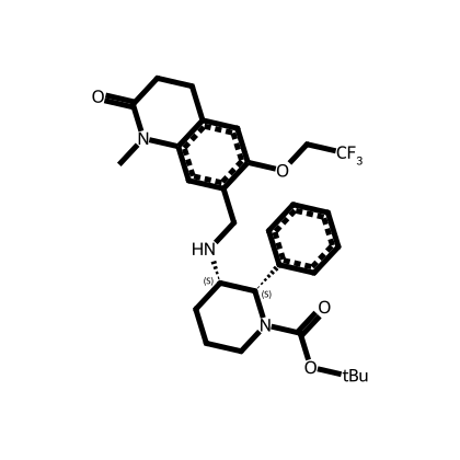 CN1C(=O)CCc2cc(OCC(F)(F)F)c(CN[C@H]3CCCN(C(=O)OC(C)(C)C)[C@H]3c3ccccc3)cc21